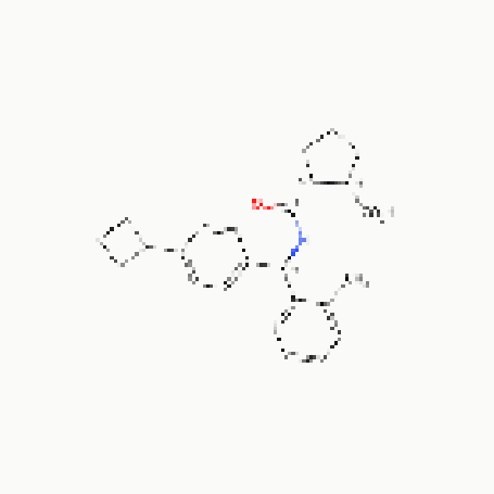 Cc1ccccc1[C@H](NC(=O)[C@@H]1CCC[C@@H]1C(=O)O)c1ccc(C2CCC2)cc1